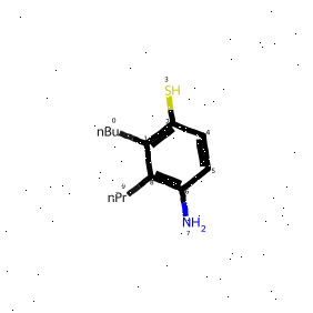 CCCCc1c(S)ccc(N)c1CCC